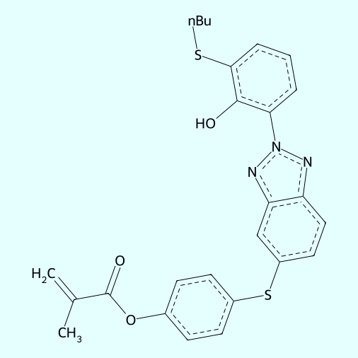 C=C(C)C(=O)Oc1ccc(Sc2ccc3nn(-c4cccc(SCCCC)c4O)nc3c2)cc1